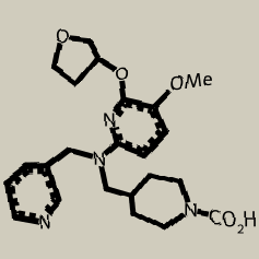 COc1ccc(N(Cc2cccnc2)CC2CCN(C(=O)O)CC2)nc1OC1CCOC1